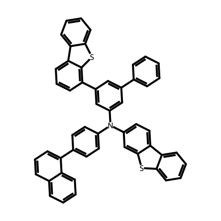 c1ccc(-c2cc(-c3cccc4c3sc3ccccc34)cc(N(c3ccc(-c4cccc5ccccc45)cc3)c3ccc4c(c3)sc3ccccc34)c2)cc1